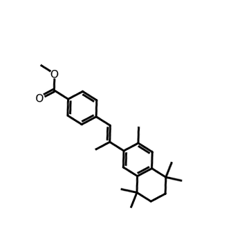 COC(=O)c1ccc(C=C(C)c2cc3c(cc2C)C(C)(C)CCC3(C)C)cc1